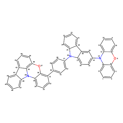 c1ccc2c(c1)Oc1ccccc1N2c1ccc2c(c1)c1ccccc1n2-c1ccc(-c2cccc3c2Oc2cccc4c5ccccc5n-3c24)cc1